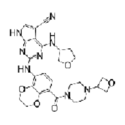 N#Cc1c[nH]c2nc(Nc3ccc(C(=O)N4CCN(C5COC5)CC4)c4c3OCCO4)nc(NC3CCOC3)c12